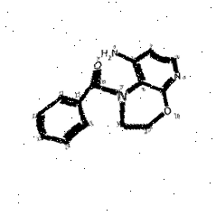 Nc1ccnc2c1N(C(=O)c1ccccc1)CCO2